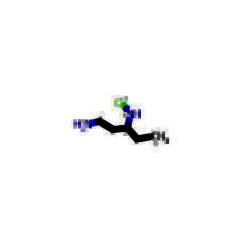 CCC(CCN)NCl